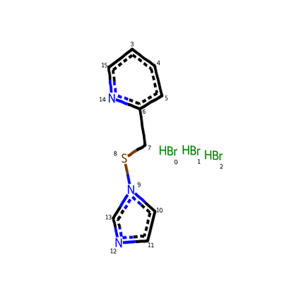 Br.Br.Br.c1ccc(CSn2ccnc2)nc1